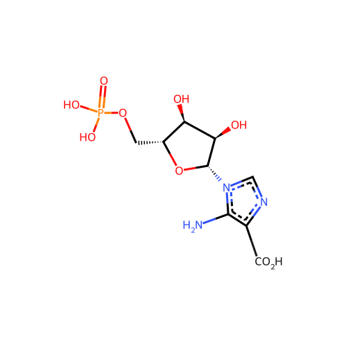 Nc1c(C(=O)O)ncn1[C@@H]1O[C@H](COP(=O)(O)O)[C@@H](O)[C@H]1O